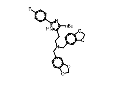 CCCCc1nc(-c2ccc(F)cc2)[nH]c1CCN(Cc1ccc2c(c1)OCO2)Cc1ccc2c(c1)OCO2